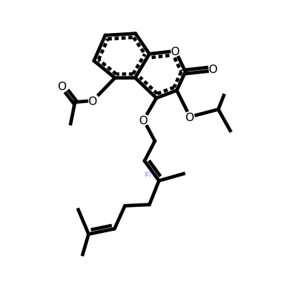 CC(=O)Oc1cccc2oc(=O)c(OC(C)C)c(OC/C=C(\C)CCC=C(C)C)c12